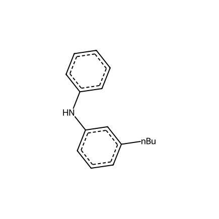 CCCCc1cccc(Nc2ccccc2)c1